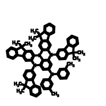 Cc1cccc(N(c2cccc(C)c2)c2cc3c4c(c2)N(c2ccc5c(c2)-c2ccccc2C5(C)C)c2cc5c(cc2B4c2cc4c(cc2N3c2ccc3c(c2)-c2ccccc2C3(C)C)-c2ccccc2C4(C)C)C(C)(C)c2ccccc2-5)c1